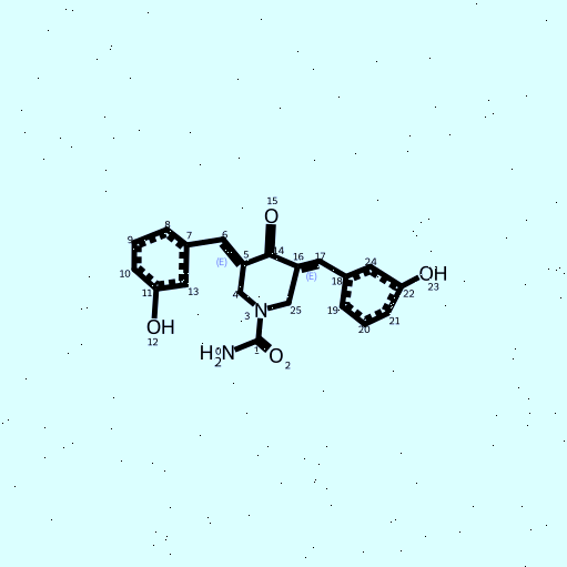 NC(=O)N1C/C(=C\c2cccc(O)c2)C(=O)/C(=C/c2cccc(O)c2)C1